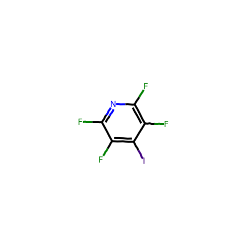 Fc1nc(F)c(F)c(I)c1F